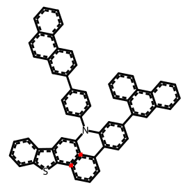 c1ccc(-c2ccc(-c3cc4ccccc4c4ccccc34)cc2N(c2ccc(-c3ccc4c(ccc5ccccc54)c3)cc2)c2ccc3sc4ccccc4c3c2)cc1